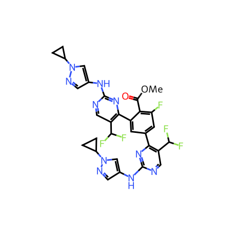 COC(=O)c1c(F)cc(-c2nc(Nc3cnn(C4CC4)c3)ncc2C(F)F)cc1-c1nc(Nc2cnn(C3CC3)c2)ncc1C(F)F